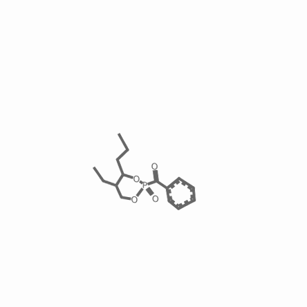 CCCC1OP(=O)(C(=O)c2ccccc2)OCC1CC